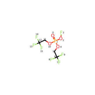 O=P(OF)(OCC(F)(F)F)OCC(F)(F)F